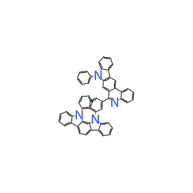 c1ccc(-n2c3ccccc3c3cc4c(cc32)c(-c2cccc(-n3c5ccccc5c5ccc6c7ccccc7n(-c7ccccc7)c6c53)c2)nc2ccccc24)cc1